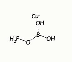 OB(O)OP.[Cu]